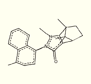 Cc1ccc(-n2c(=O)c3c(n2C)C2(C)CCC3C2(C)C)c2ccccc12